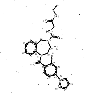 CCOC(=O)CNC(=O)N1Cc2ccccc2N(C(=O)c2ccc(-n3cccn3)cc2F)C[C@H]1C